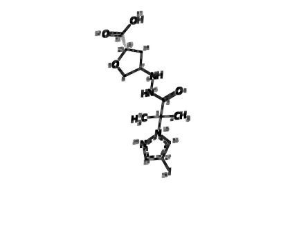 CC(C)(C(=O)NNC1CO[C@H](C(=O)O)C1)n1cc(I)cn1